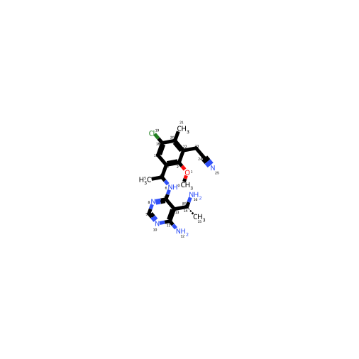 COc1c(C(C)Nc2ncnc(N)c2[C@@H](C)N)cc(Cl)c(C)c1CC#N